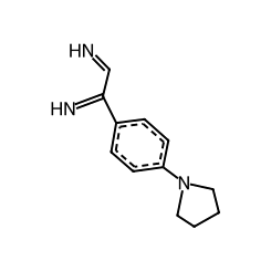 N=CC(=N)c1ccc(N2CCCC2)cc1